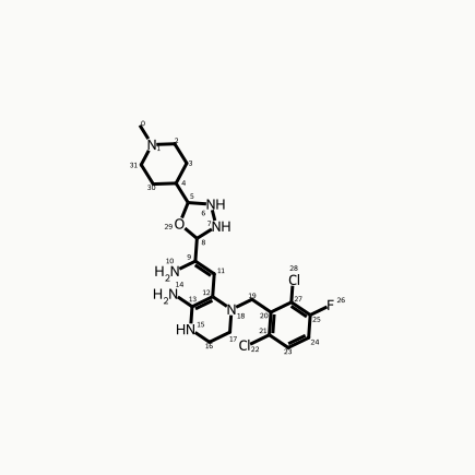 CN1CCC(C2NNC(/C(N)=C/C3=C(N)NCCN3Cc3c(Cl)ccc(F)c3Cl)O2)CC1